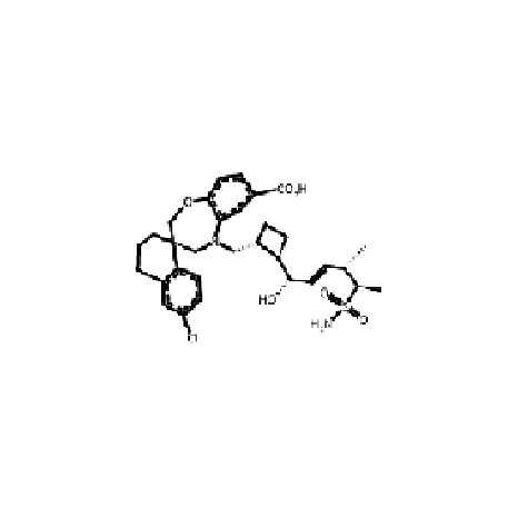 C[C@H]([C@@H](C)/C=C/[C@H](O)[C@@H]1CC[C@H]1CN1C[C@@]2(CCCc3cc(Cl)ccc32)COc2ccc(C(=O)O)cc21)S(N)(=O)=O